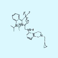 CC(C)N(c1ccccc1C(NC(=O)CNc1cccc2c1CCN(CC1CC1)C2)C(F)(F)F)C(C)C